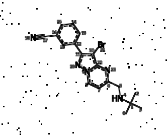 CC(C)(C)NCc1ccn2nc(-c3cccc(C#N)c3)c(Br)c2n1